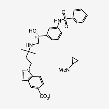 CC(C)(CCn1ccc2cc(C(=O)O)ccc21)NC[C@H](O)c1cccc(NS(=O)(=O)c2ccccc2)c1.CNC1CC1